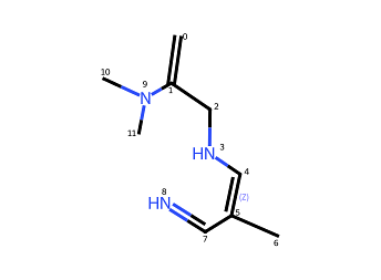 C=C(CN/C=C(/C)C=N)N(C)C